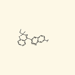 CCC1(C)Cc2ccccc2C(c2cc3ccc(F)cc3nn2)=N1